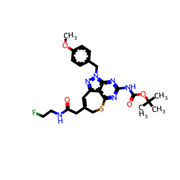 COc1ccc(Cn2nc3c4c(nc(NC(=O)OC(C)(C)C)nc42)SCC(CC(=O)NCCF)=C3)cc1